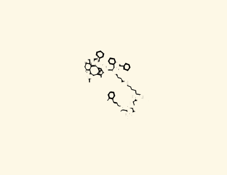 CC(=O)O[C@H]1C(=O)[C@@]2(C)[C@H]([C@H](OC(=O)c3ccccc3)[C@]3(O)C[C@H](OC(=O)[C@H](OC(=O)CCC(=O)NCCCCC(NC(=O)CC[C@H](NC(=O)C(C)NC(=O)/C=C/c4ccc(F)cc4Cl)C(N)=O)C(N)=O)[C@H](NC(=O)c4ccccc4)c4ccccc4)C(C)=C1C3(C)C)[C@]1(OC(C)=O)CO[C@@H]1C[C@@H]2O